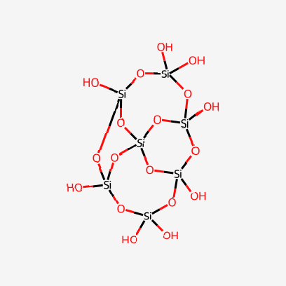 O[Si]1(O)O[Si]2(O)O[Si]3(O)O[Si](O)(O)O[Si]4(O)O[Si](O)(O1)O[Si](O2)(O3)O4